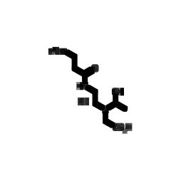 CCCCCCCCCCCC(=O)NCCN(CC(=O)O)C(C)O.[KH]